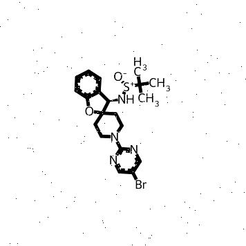 CC(C)(C)[S+]([O-])N[C@@H]1c2ccccc2OC12CCN(c1ncc(Br)cn1)CC2